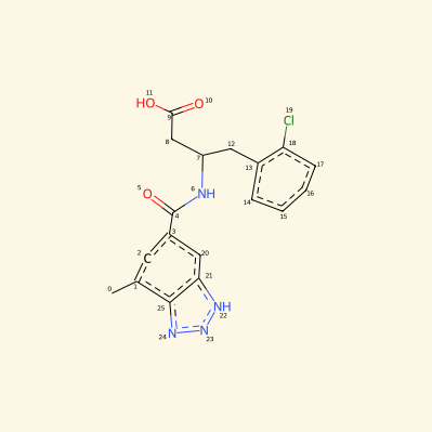 Cc1cc(C(=O)NC(CC(=O)O)Cc2ccccc2Cl)cc2[nH]nnc12